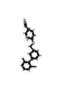 Cc1cccc(C)c1-c1cccc(COc2ccc(C#N)cn2)c1